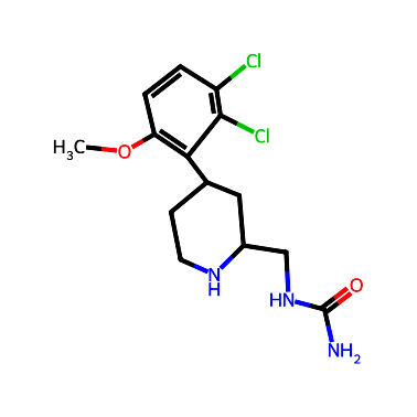 COc1ccc(Cl)c(Cl)c1C1CCNC(CNC(N)=O)C1